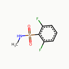 CNS(=O)(=O)c1c(F)cccc1F